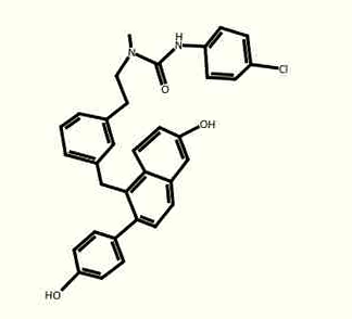 CN(CCc1cccc(Cc2c(-c3ccc(O)cc3)ccc3cc(O)ccc23)c1)C(=O)Nc1ccc(Cl)cc1